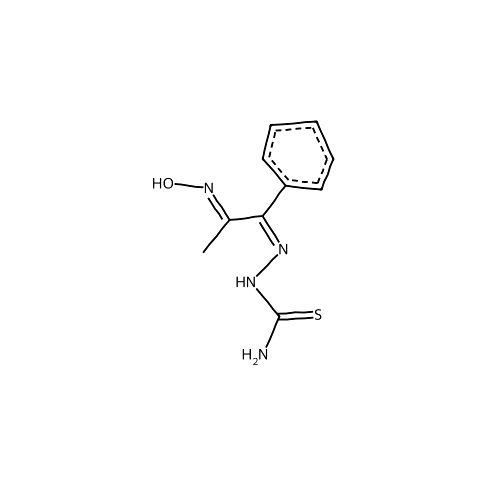 CC(=NO)C(=NNC(N)=S)c1ccccc1